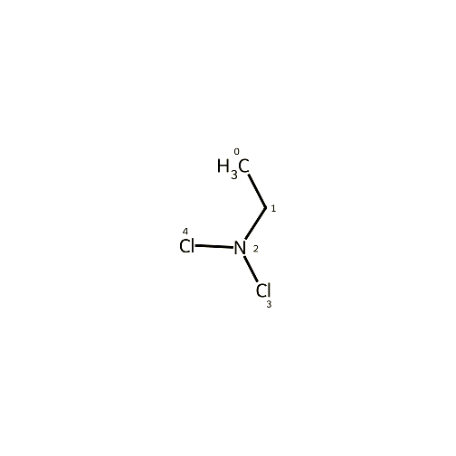 CCN(Cl)Cl